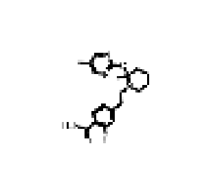 Cc1cnc(OC2(C)CCCCN2CCc2ccc(C(N)=O)c(F)c2)nc1